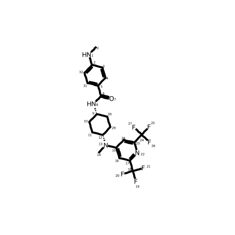 CNc1ccc(C(=O)N[C@H]2CC[C@@H](N(C)c3cc(C(F)(F)F)nc(C(F)(F)F)c3)CC2)cc1